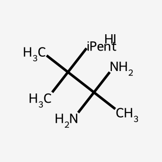 CCCC(C)C(C)(C)C(C)(N)N.I